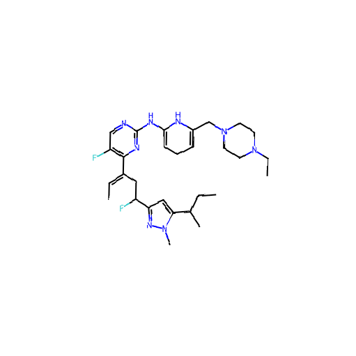 C/C=C(\CC(F)c1cc(C(C)CC)n(C)n1)c1nc(NC2=CCC=C(CN3CCN(CC)CC3)N2)ncc1F